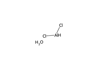 O.[Cl][AlH][Cl]